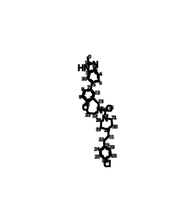 Cc1nc2ccc(-c3ccc4c(c3)CN(C(=O)N3CCC(CCc5ccc(Cl)cc5)CC3)CCO4)cc2[nH]1